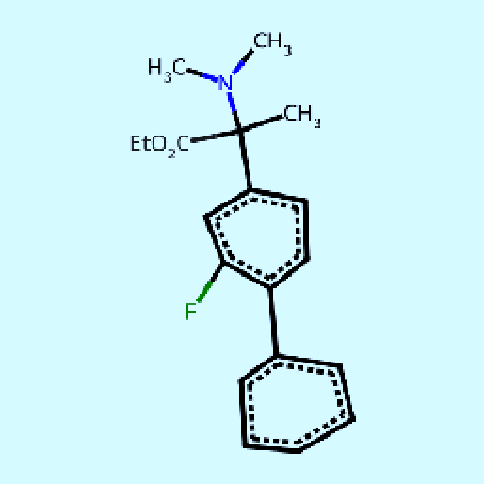 CCOC(=O)C(C)(c1ccc(-c2ccccc2)c(F)c1)N(C)C